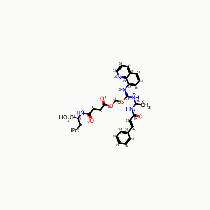 CC(C)C[C@H](NC(=O)CCC(=O)OCS/C(=N/c1cccc2cccnc12)NC(C)NC(=O)/C=C/c1ccccc1)C(=O)O